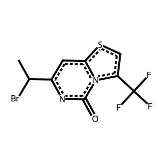 CC(Br)c1cc2scc(C(F)(F)F)n2c(=O)n1